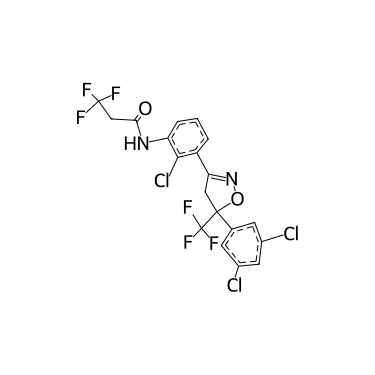 O=C(CC(F)(F)F)Nc1cccc(C2=NOC(c3cc(Cl)cc(Cl)c3)(C(F)(F)F)C2)c1Cl